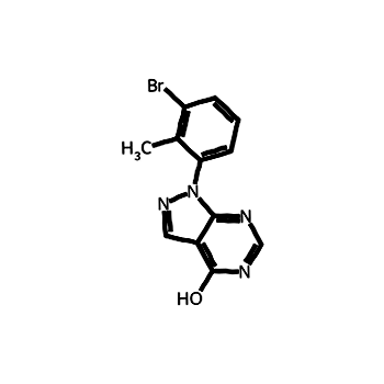 Cc1c(Br)cccc1-n1ncc2c(O)ncnc21